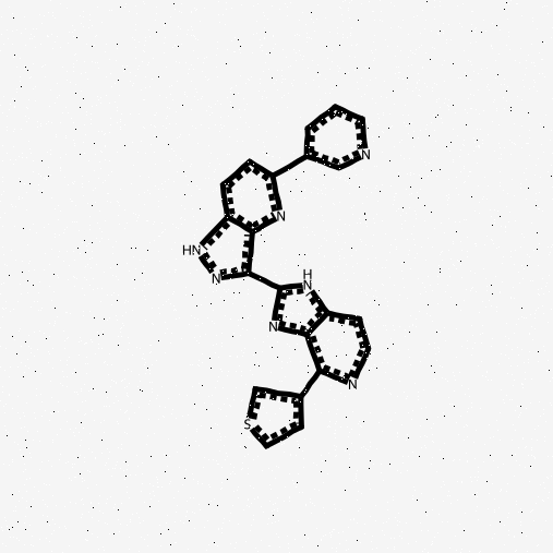 c1cncc(-c2ccc3[nH]nc(-c4nc5c(-c6ccsc6)nccc5[nH]4)c3n2)c1